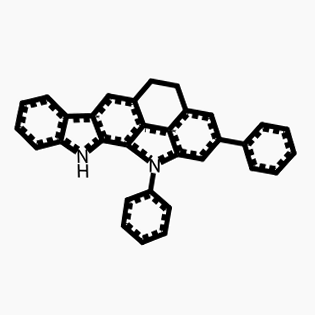 c1ccc(-c2cc3c4c5c(cc6c7ccccc7[nH]c6c5n(-c5ccccc5)c4c2)CC3)cc1